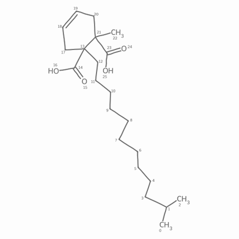 CC(C)CCCCCCCCCCC1(C(=O)O)CC=CCC1(C)C(=O)O